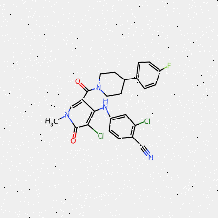 Cn1cc(C(=O)N2CCC(c3ccc(F)cc3)CC2)c(Nc2ccc(C#N)c(Cl)c2)c(Cl)c1=O